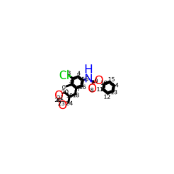 Cc1c(Cl)cc(NC(=O)Oc2ccccc2)cc1CC1COCOC1